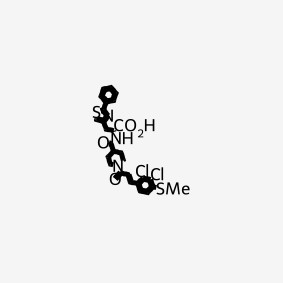 CSc1ccc(/C=C/C(=O)N2CCC(C(=O)NC(Cc3csc(-c4ccccc4)n3)C(=O)O)CC2)c(Cl)c1Cl